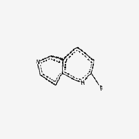 Fc1ccc2cnccc2n1